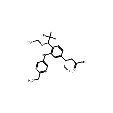 CCO[C@H](c1ccc([C@@H](CC)CC(=O)O)cc1Nc1cnc(CC)nc1)C(F)(F)F